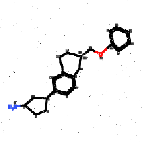 NC1CCC(c2ccc3c(c2)CC[C@H](COc2ccccc2)C3)C1